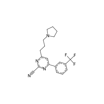 N#Cc1nc(CCCN2CCCC2)cc(-c2cccc(C(F)(F)F)c2)n1